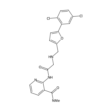 CNC(=O)c1cccnc1NC(=O)CNCc1ccc(-c2cc(Cl)ccc2Cl)o1